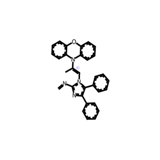 C=Nc1nc(-c2ccccc2)c(-c2ccccc2)n1/C=C(\C)N1c2ccccc2Oc2ccccc21